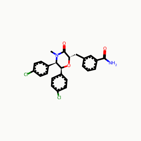 CN1C(=O)[C@H](Cc2cccc(C(N)=O)c2)O[C@@H](c2ccc(Cl)cc2)[C@H]1c1ccc(Cl)cc1